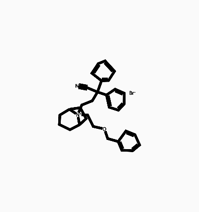 N#CC(CC[N+]1(CCOCc2ccccc2)C2CCCC1CC2)(c1ccccc1)c1ccccc1.[Br-]